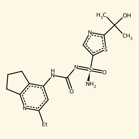 CCc1cc(NC(=O)N=[S@@](N)(=O)c2cnc(C(C)(C)O)s2)c2c(n1)CCC2